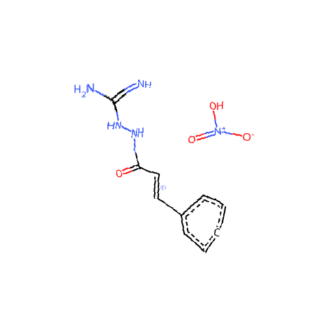 N=C(N)NNC(=O)/C=C/c1ccccc1.O=[N+]([O-])O